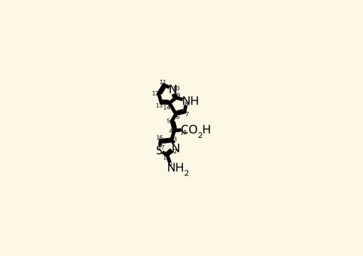 Nc1nc(/C(=C/c2c[nH]c3ncccc23)C(=O)O)cs1